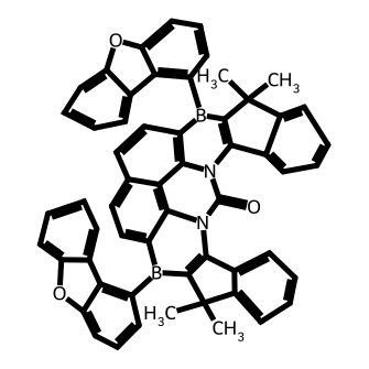 CC1(C)C2=C(c3ccccc31)N1C(=O)N3C4=C(B(c5cccc6oc7ccccc7c56)c5ccc6ccc(c1c6c53)B2c1cccc2oc3ccccc3c12)C(C)(C)c1ccccc14